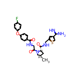 C[C@@H]1C[C@@H](C(=O)NCc2cc(C(=N)N)cs2)N(C(=O)CNC(=O)c2ccc(Oc3ccc(F)cc3)cc2)C1